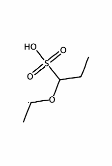 C[CH]OC(CC)S(=O)(=O)O